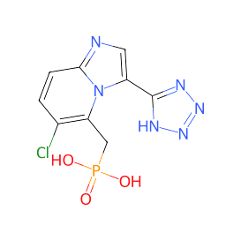 O=P(O)(O)Cc1c(Cl)ccc2ncc(-c3nnn[nH]3)n12